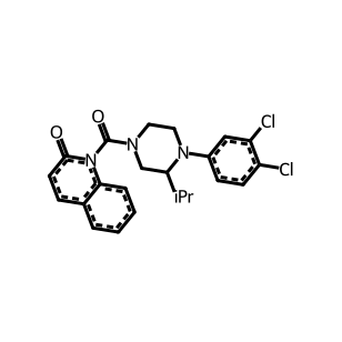 CC(C)C1CN(C(=O)n2c(=O)ccc3ccccc32)CCN1c1ccc(Cl)c(Cl)c1